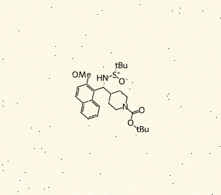 COc1ccc2ccccc2c1[C@H](N[S@@+]([O-])C(C)(C)C)C1CCN(C(=O)OC(C)(C)C)CC1